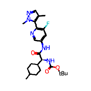 Cc1cnn(C)c1-c1ncc(NC(=O)[C@@H](NC(=O)OC(C)(C)C)C2CCC(C)CC2)cc1F